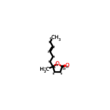 CCC=CCCC1(C)CCC(=O)O1